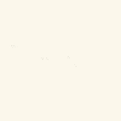 COc1ccc(-c2cc(CCCN3CCN(c4cccc(C)c4)C(C)C3)nn2-c2ccccc2)cc1